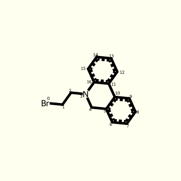 BrCCN1Cc2ccccc2-c2ccccc21